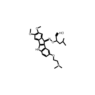 C#CC(CC(C)C)ON=C1c2cc(OC)c(OC)cc2-c2[nH]c3ccc(OCCN(C)C)cc3c21.Cl